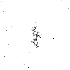 CC(C)(C)OC(=O)N1CCC(Nc2cccc(Br)n2)CC1